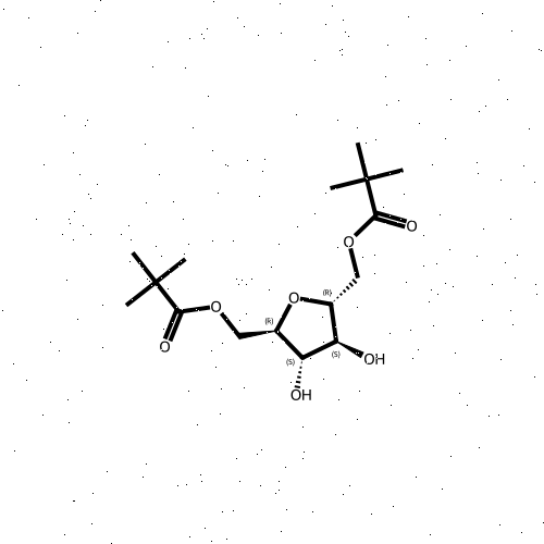 CC(C)(C)C(=O)OC[C@H]1O[C@H](COC(=O)C(C)(C)C)[C@@H](O)[C@@H]1O